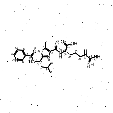 Cc1oc([C@H](CC(C)C)NC(=O)c2cccnc2)nc1C(=O)N[C@@H](CCCNC(=N)N)C(=O)O